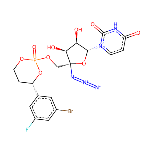 [N-]=[N+]=N[C@]1(COP2(=O)OCC[C@@H](c3cc(F)cc(Br)c3)O2)O[C@@H](n2ccc(=O)[nH]c2=O)[C@H](O)[C@@H]1O